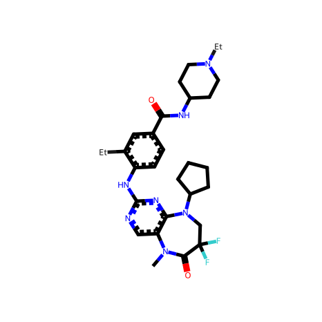 CCc1cc(C(=O)NC2CCN(CC)CC2)ccc1Nc1ncc2c(n1)N(C1CCCC1)CC(F)(F)C(=O)N2C